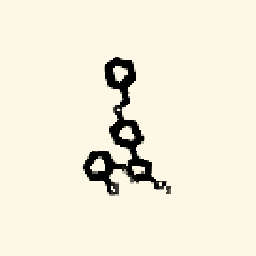 FC(F)(F)c1cc(-c2ccc(OCc3ccccc3)cc2)n(-c2ccccc2Cl)n1